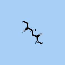 [CH2]CC(=O)NCC(=O)OC